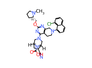 CN1CCC[C@H]1COc1nc2c(c(N3C[C@H]4CC(C#N)[C@@H](C3)N4C(=O)O)n1)CCN(c1cccc3cccc(Cl)c13)C2